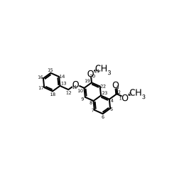 COC(=O)c1cccc2cc(OCc3ccccc3)c(OC)cc12